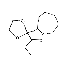 CCC(=O)C1(C2CCCCCO2)OCCO1